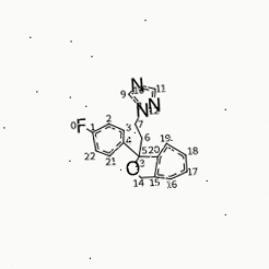 Fc1ccc(C2(CCn3cncn3)OCc3ccccc32)cc1